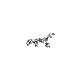 CC(C)OC(=O)OCOP(=O)(COC[C@H]1O[C@@H](n2ncc3c(N4CC5(CCc6ccccc65)C4)nc(Cl)nc32)C[C@@H]1O)OCOC(=O)OC(C)C